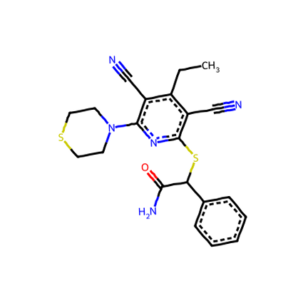 CCc1c(C#N)c(SC(C(N)=O)c2ccccc2)nc(N2CCSCC2)c1C#N